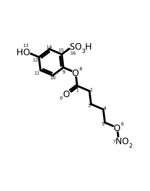 O=C(CCCCO[N+](=O)[O-])Oc1ccc(O)cc1S(=O)(=O)O